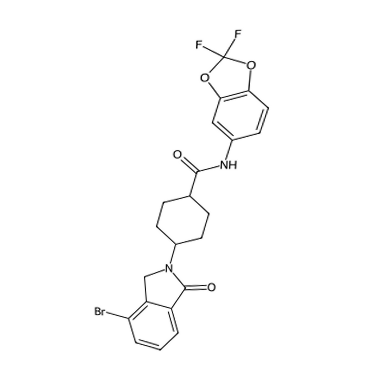 O=C(Nc1ccc2c(c1)OC(F)(F)O2)C1CCC(N2Cc3c(Br)cccc3C2=O)CC1